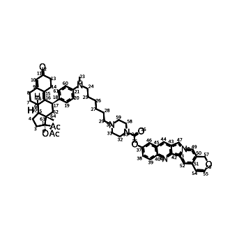 CC(=O)O[C@]1(C(C)=O)CC[C@H]2[C@@H]3CCC4=CC(=O)CCC4=C3[C@@H](c3ccc(N(C)CCCCCCN4CCN(C(=O)Oc5ccc6nc7c(cc6c5)cn5cc6c(cc75)C=COC6)CC4)cc3)C[C@@]21C